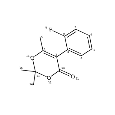 CC1=C(c2ccccc2F)C(=O)OC(C)(C)O1